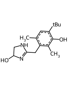 Cc1cc(C(C)(C)C)c(O)c(C)c1CC1=NC(O)CN1